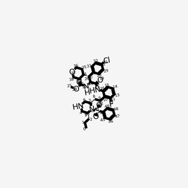 CCC[C@@H]1CNC[C@H](CCc2c(F)cccc2NC(=O)[C@@H](NC(=O)OC)[C@@H](c2ccc(Cl)cc2)C2CCOCC2)N1S(=O)(=O)c1ccccc1